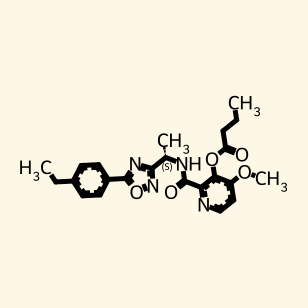 CCCC(=O)Oc1c(OC)ccnc1C(=O)N[C@@H](C)c1noc(-c2ccc(CC)cc2)n1